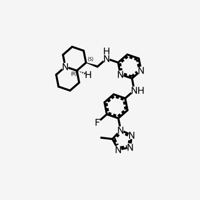 Cc1nnnn1-c1cc(Nc2nccc(NC[C@@H]3CCCN4CCCC[C@H]34)n2)ccc1F